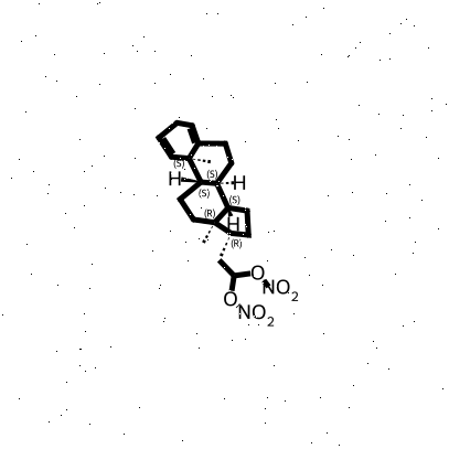 C[C@]12CC[C@H]3[C@@H](CCC4=CCC=C[C@@]43C)[C@@H]1CC[C@@H]2CC(O[N+](=O)[O-])O[N+](=O)[O-]